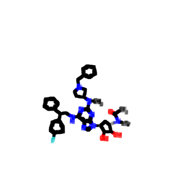 CCCN(C(=O)C(F)(F)F)[C@H]1C[C@@H](n2cnc3c(NCC(c4ccccc4)c4ccc(F)cc4)nc(N(C)[C@H]4CCN(Cc5ccccc5)C4)nc32)[C@H](O)[C@@H]1O